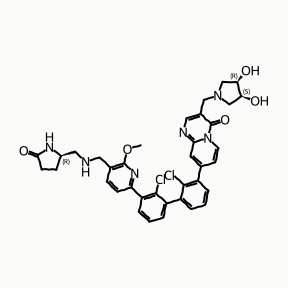 COc1nc(-c2cccc(-c3cccc(-c4ccn5c(=O)c(CN6C[C@@H](O)[C@@H](O)C6)cnc5c4)c3Cl)c2Cl)ccc1CNC[C@H]1CCC(=O)N1